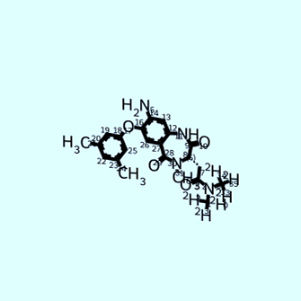 [2H]C([2H])([2H])N(C(=O)C[C@H]1C(=O)Nc2cc(N)c(Oc3cc(C)cc(C)c3)cc2C(=O)N1C)C([2H])([2H])[2H]